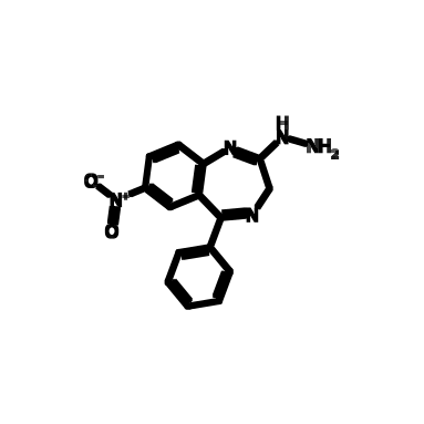 NNC1=Nc2ccc([N+](=O)[O-])cc2C(c2ccccc2)=NC1